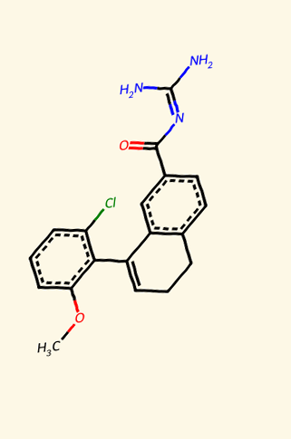 COc1cccc(Cl)c1C1=CCCc2ccc(C(=O)N=C(N)N)cc21